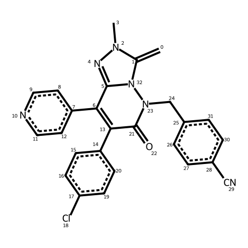 C=C1N(C)N=C2C(c3ccncc3)=C(c3ccc(Cl)cc3)C(=O)N(Cc3ccc(C#N)cc3)N12